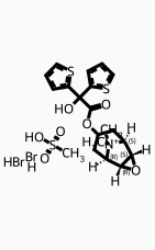 Br.Br.CS(=O)(=O)O.C[N+]1(C)[C@@H]2CC(OC(=O)C(O)(c3cccs3)c3cccs3)C[C@H]1[C@@H]1O[C@@H]12